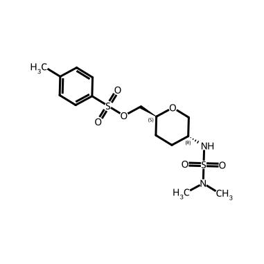 Cc1ccc(S(=O)(=O)OC[C@@H]2CC[C@@H](NS(=O)(=O)N(C)C)CO2)cc1